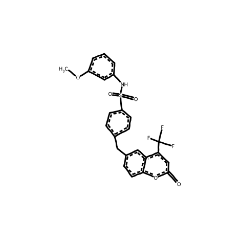 COc1cccc(NS(=O)(=O)c2ccc(Cc3ccc4oc(=O)cc(C(F)(F)F)c4c3)cc2)c1